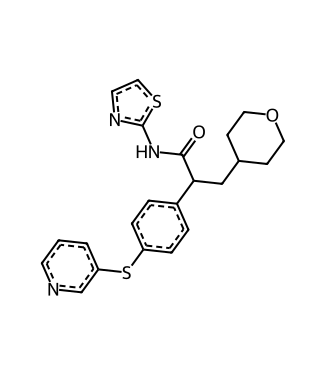 O=C(Nc1nccs1)C(CC1CCOCC1)c1ccc(Sc2cccnc2)cc1